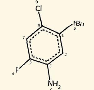 CC(C)(C)c1cc(N)c(F)cc1Cl